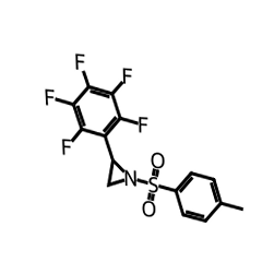 Cc1ccc(S(=O)(=O)N2CC2c2c(F)c(F)c(F)c(F)c2F)cc1